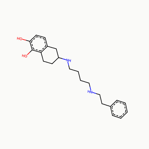 Oc1ccc2c(c1O)CCC(NCCCCNCCc1ccccc1)C2